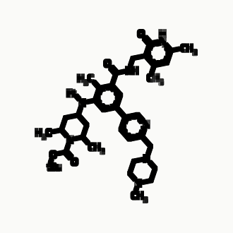 CCN(c1cc(-c2ccc(CN3CCN(C)CC3)nc2)cc(C(=O)NCc2c(C)cc(C)[nH]c2=O)c1C)C1CC(C)N(C(=O)OC(C)(C)C)C(C)C1